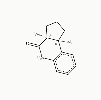 O=C1Nc2ccccc2[C@@H]2CCC[C@H]12